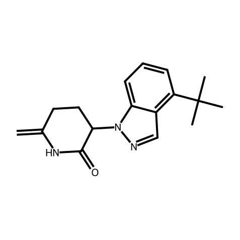 C=C1CCC(n2ncc3c(C(C)(C)C)cccc32)C(=O)N1